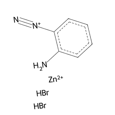 Br.Br.N#[N+]c1ccccc1N.[Zn+2]